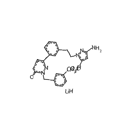 Cc1cc(N)nn1CCc1cccc(-c2ccc(=O)n(Cc3cccc(C(=O)O)c3)n2)c1.[LiH]